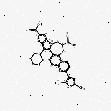 Cc1cc(-c2ccc3c4c(ccc3n2)-c2c(C3CCCCC3)c3sc(C(=O)O)cc3n2CC(C(N)=O)C4)c(C)s1